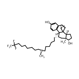 C=CC12CCc3cc(O)ccc3[C@H]1[C@@H](CCCCCCN(C)CCCCCCCC(F)(F)C(F)(F)F)C[C@]1(C)[C@@H](O)CC[C@@H]21